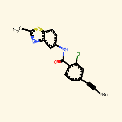 Cc1nc2cc(NC(=O)c3ccc(C#CC(C)(C)C)cc3Cl)ccc2s1